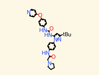 CC(C)(C)c1cc(NC(=O)Nc2ccc(Oc3ccncc3)cc2)n(-c2ccc(NC(=O)CN3CCCC3)cc2)n1